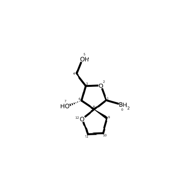 BC1OC(CO)[C@@H](O)[C@]12CCCO2